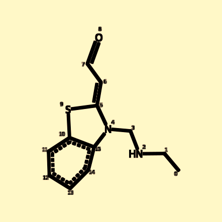 CCNCN1/C(=C/C=O)Sc2ccccc21